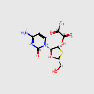 Nc1ccn([C@@H]2CS[C@H](CO)O2)c(=O)n1.O=C(O)C(=O)O